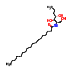 CCCCCCCCCCCCCCCCCC(=O)N[C@H](CO)[C@@H](O)[C@@H](O)CCC